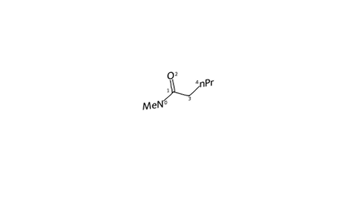 [CH2-][NH2+]C(=O)CCCC